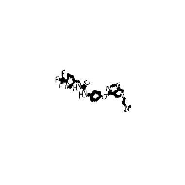 CN(C)CCN1Cc2ncnc(Oc3ccc(NC(=O)NCc4ccc(C(F)(F)F)nc4)cc3)c2C1